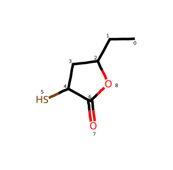 CCC1CC(S)C(=O)O1